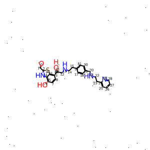 O=CC1Nc2c(O)ccc([C@@H](O)CNCCc3ccc(CNCCc4ccccn4)cc3)c2S1